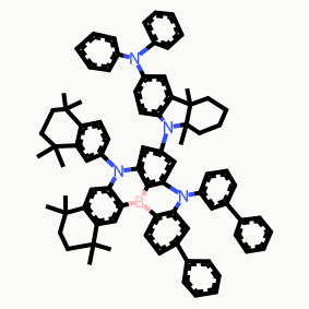 CC1(C)CCC(C)(C)c2cc(N3c4cc5c(cc4B4c6ccc(-c7ccccc7)cc6N(c6cccc(-c7ccccc7)c6)c6cc(N7c8ccc(N(c9ccccc9)c9ccccc9)cc8C8(C)CCCCC78C)cc3c64)C(C)(C)CCC5(C)C)ccc21